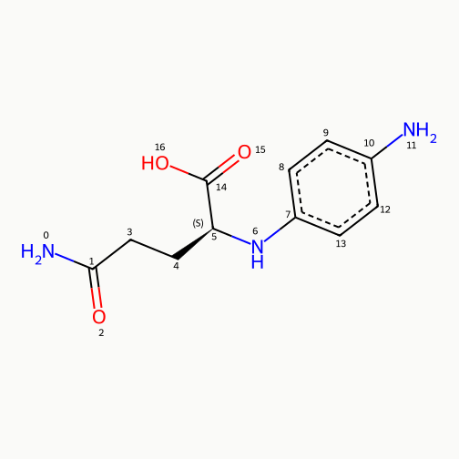 NC(=O)CC[C@H](Nc1ccc(N)cc1)C(=O)O